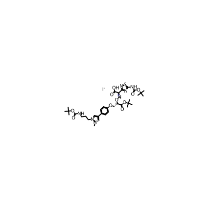 C[n+]1cc(-c2ccc(OC[C@H](O/N=C(\C(=O)O)c3nsc(NC(=O)OC(C)(C)C)n3)C(=O)OC(C)(C)C)cc2)cn1CCCNC(=O)OC(C)(C)C.[I-]